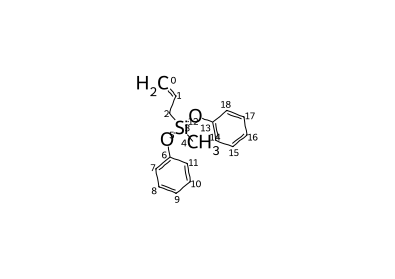 C=CC[Si](C)(Oc1ccccc1)Oc1ccccc1